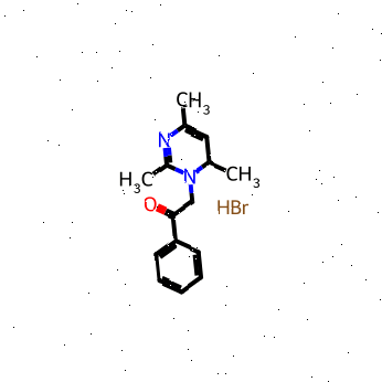 Br.CC1=CC(C)N(CC(=O)c2ccccc2)C(C)=N1